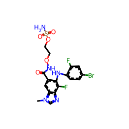 Cn1cnc2c(F)c(Nc3ccc(Br)cc3F)c(C(=O)NOCCOS(N)(=O)=O)cc21